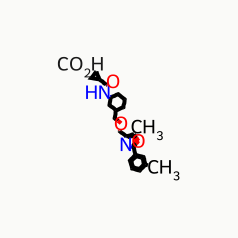 Cc1cccc(-c2nc(COCC3CCCC(NC(=O)C4CC4C(=O)O)C3)c(C)o2)c1